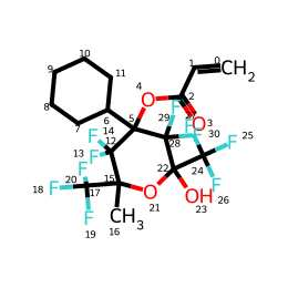 C=CC(=O)OC1(C2CCCCC2)C(F)(F)C(C)(C(F)(F)F)OC(O)(C(F)(F)F)C1(F)F